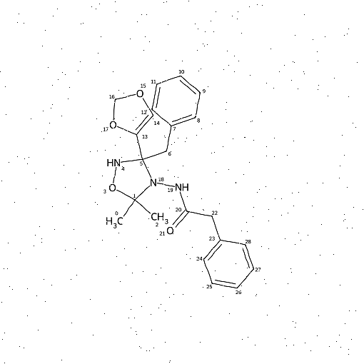 CC1(C)ONC(Cc2ccccc2)(C2=COCO2)N1NC(=O)Cc1ccccc1